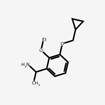 CCOc1c(OCC2CC2)[c]ccc1C(C)N